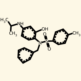 Cc1ccc(S(=O)(=O)N(Cc2ccccc2)c2ccc(NC(C)C)cc2O)cc1